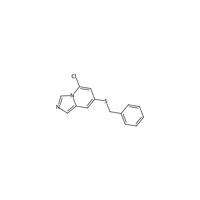 Clc1cc(SCc2ccccc2)cc2cncn12